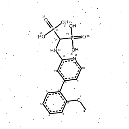 COc1ccccc1-c1ccnc(NC(P(=O)(O)O)P(=O)(O)O)c1